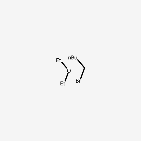 CCCCCBr.CCOCC